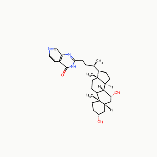 C[C@H](CCc1nc2cnccc2c(=O)[nH]1)[C@H]1CC[C@H]2[C@H]3C(CC[C@]12C)[C@@]1(C)CC[C@@H](O)C[C@H]1C[C@H]3O